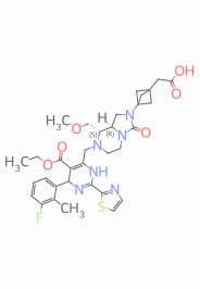 CCOC(=O)C1=C(CN2CCN3C(=O)N(C45CC(CC(=O)O)(C4)C5)C[C@@H]3[C@H]2COC)NC(c2nccs2)=NC1c1cccc(F)c1C